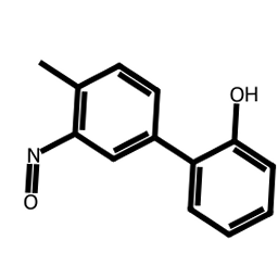 Cc1ccc(-c2ccccc2O)cc1N=O